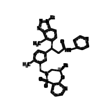 CC[C@@H]1CN(Cc2cc(C(CC(=O)Nc3ccncc3)c3ccc4c(nnn4CC)c3C)ccc2C)S(=O)(=O)c2cccnc2O1